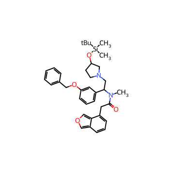 CN(C(=O)Cc1cccc2cocc12)C(CN1CCC(O[Si](C)(C)C(C)(C)C)C1)c1cccc(OCc2ccccc2)c1